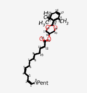 CCCCC/C=C\C/C=C\CCCCCCCC(=O)OC1COC(C2=C(C)C=CCC2(C)C)OC1